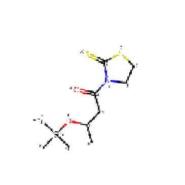 CC(CC(=O)N1CCSC1=S)O[Si](C)(C)C(C)(C)C